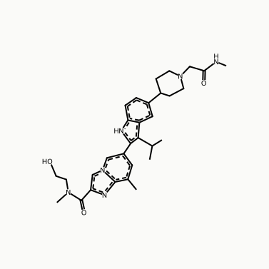 CNC(=O)CN1CCC(c2ccc3[nH]c(-c4cc(C)c5nc(C(=O)N(C)CCO)cn5c4)c(C(C)C)c3c2)CC1